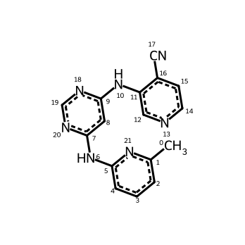 Cc1cccc(Nc2cc(Nc3cnccc3C#N)ncn2)n1